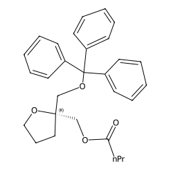 CCCC(=O)OC[C@]1(COC(c2ccccc2)(c2ccccc2)c2ccccc2)CCCO1